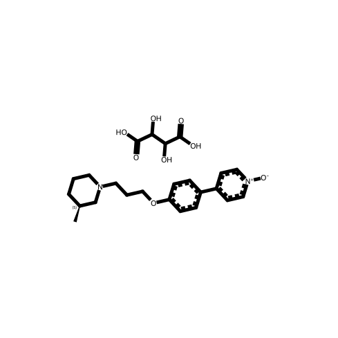 C[C@H]1CCCN(CCCOc2ccc(-c3cc[n+]([O-])cc3)cc2)C1.O=C(O)C(O)C(O)C(=O)O